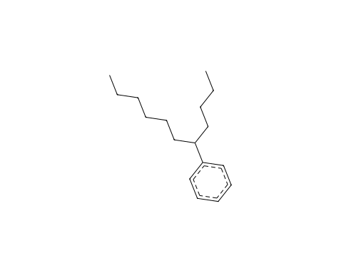 CCCCCCC(CCCC)c1ccccc1